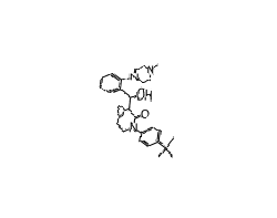 CN1CCN(c2ccccc2C(O)C2OCCN(c3ccc(C(C)(C)C)cc3)C2=O)CC1